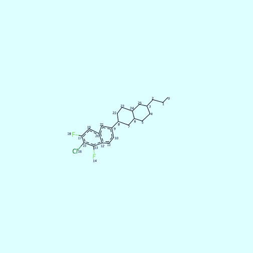 CCCC1CCC2CC(c3ccc4c(F)c(Cl)c(F)cc4c3)CCC2C1